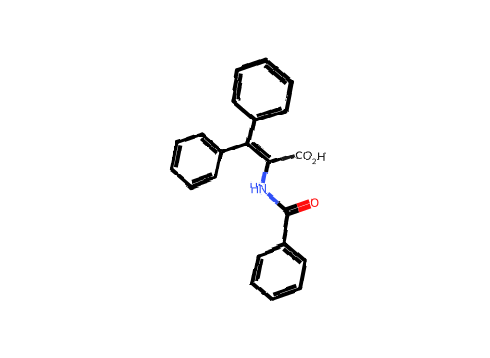 O=C(O)C(NC(=O)c1ccccc1)=C(c1ccccc1)c1ccccc1